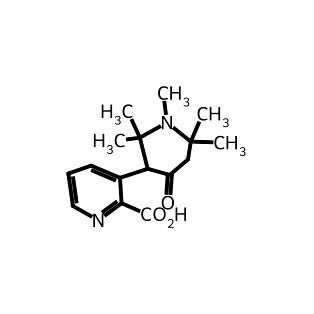 CN1C(C)(C)CC(=O)C(c2cccnc2C(=O)O)C1(C)C